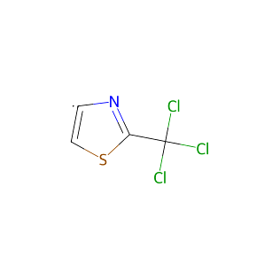 ClC(Cl)(Cl)c1n[c]cs1